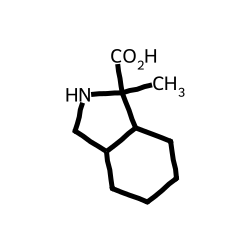 CC1(C(=O)O)NCC2CCCCC21